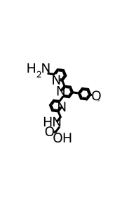 COc1ccc(-c2cc(-c3cccc(CN)n3)nc(-c3cccc(CNCC(=O)O)n3)c2)cc1